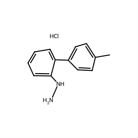 Cc1ccc(-c2ccccc2NN)cc1.Cl